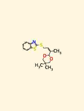 C/C(=C/CSc1nc2ccccc2s1)C1OCC(C)(C)CO1